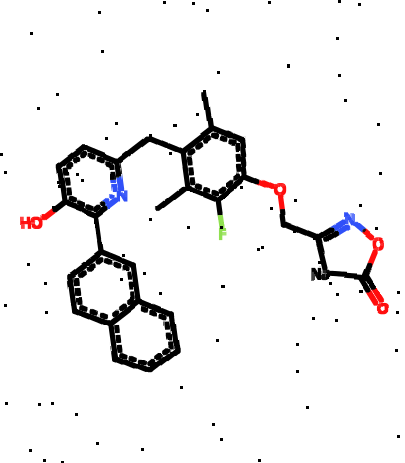 Cc1cc(OC[C]2=NO[C](=O)[Na]2)c(F)c(C)c1Cc1ccc(O)c(-c2ccc3ccccc3c2)n1